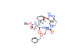 CC(C)(C)OC(=O)NC(C)(C)C(=O)N[C@H](COCc1ccccc1)C(=O)N1CCC2=NNC(=O)[C@]2(Cc2ccccc2)C1